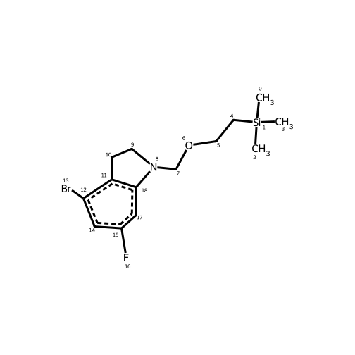 C[Si](C)(C)CCOCN1CCc2c(Br)cc(F)cc21